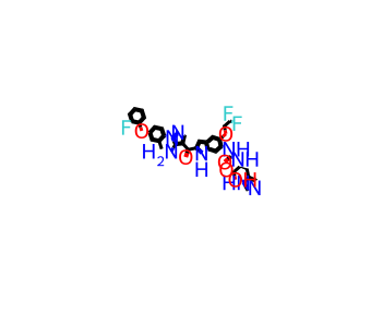 Cc1cc(Oc2ccccc2F)ccc1-n1ncc(C(=O)c2cc3cc(OCC(F)F)c(NC(=O)N[C@@H](Cc4cnc[nH]4)C(=O)O)cc3[nH]2)c1N